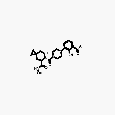 Cc1c(N2CCN(C(=O)[C@H]3NCC4(CC4)C[C@@H]3C(=O)NO)CC2)cccc1[N+](=O)[O-]